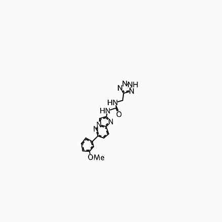 COc1cccc(-c2ccc3nc(NC(=O)NCc4nn[nH]n4)cn3n2)c1